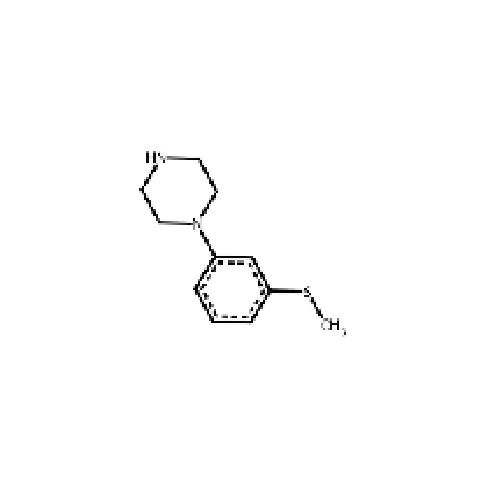 CSc1cccc(N2CCNCC2)c1